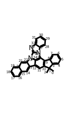 CC1(C)c2ccccc2-c2c1cc1c3cc4ccccc4cc3n3c1c2n1c2ccccc2nc13